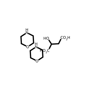 C1COCCN1.C1COCCN1.O=C(O)CC(O)C(=O)O